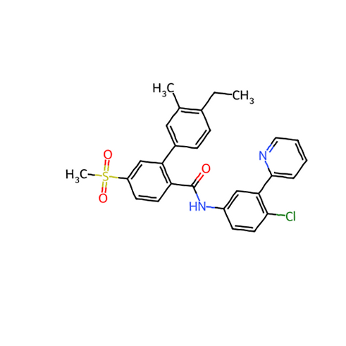 CCc1ccc(-c2cc(S(C)(=O)=O)ccc2C(=O)Nc2ccc(Cl)c(-c3ccccn3)c2)cc1C